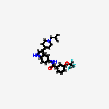 CC(C)CN1CC=C(c2c[nH]c3ccc(NC(=O)c4cccc(OC(F)(F)F)c4)cc23)CC1